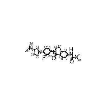 CN(C)C(=O)Nc1ccc2c(c1)CCN(c1ccc(N3CC[C@@H](N(C)C)C3)c(F)c1)C2=O